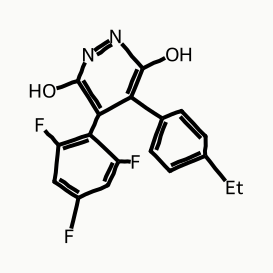 CCc1ccc(-c2c(O)nnc(O)c2-c2c(F)cc(F)cc2F)cc1